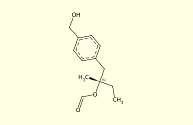 CC[C@@](C)(Cc1ccc(CO)cc1)OC=O